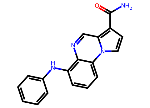 NC(=O)c1ccn2c1cnc1c(Nc3ccccc3)cccc12